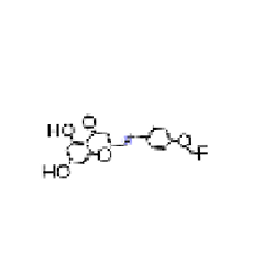 O=c1cc(/C=C/c2ccc(OCF)cc2)oc2cc(O)cc(O)c12